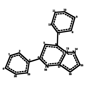 c1ccc(-c2cc(-c3ccccc3)n3nccc3n2)cc1